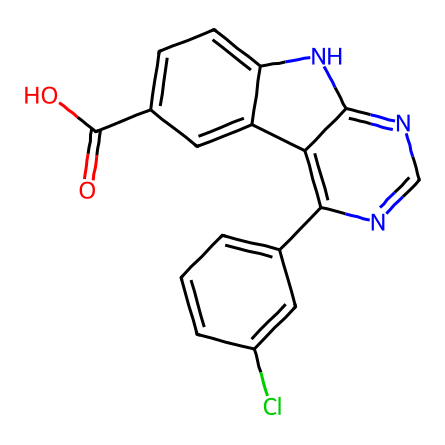 O=C(O)c1ccc2[nH]c3ncnc(-c4cccc(Cl)c4)c3c2c1